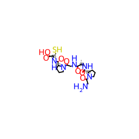 C[C@H](NC(=O)[C@@H]1CCCN1C(=O)CN)C(=O)NCC(=O)N1CCC[C@H]1C(=O)N[C@@H](CS)C(=O)O